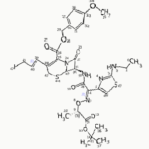 CCNc1nc(/C(=N/O[C@@H](C)C(=O)OC(C)(C)C)C(=O)N[C@@H]2C(=O)N3C(C(=O)OCc4ccc(OC)cc4)=C(/C=C/CI)CSC23)cs1